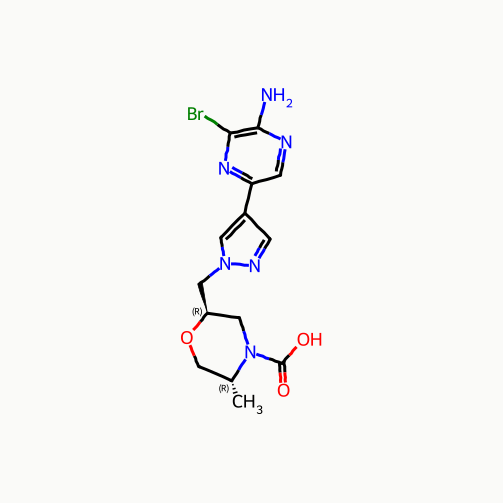 C[C@@H]1CO[C@@H](Cn2cc(-c3cnc(N)c(Br)n3)cn2)CN1C(=O)O